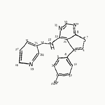 Brc1ccc(-c2csc3ncnc(NCc4cccnc4)c23)cc1